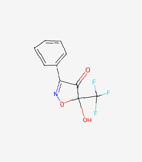 O=C1C(c2ccccc2)=NOC1(O)C(F)(F)F